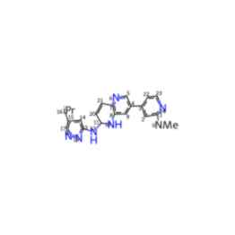 CNc1cc(-c2cnc3c(c2)NC(Nc2cc(C(C)C)cnn2)C=C3)ccn1